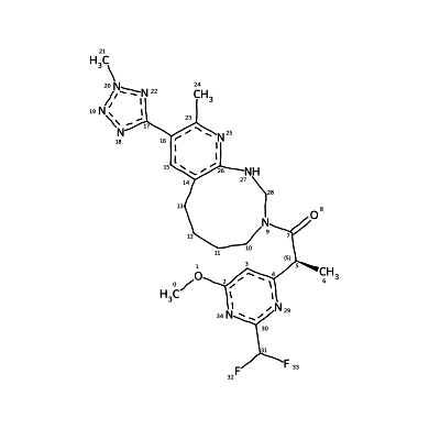 COc1cc([C@H](C)C(=O)N2CCCCc3cc(-c4nnn(C)n4)c(C)nc3NC2)nc(C(F)F)n1